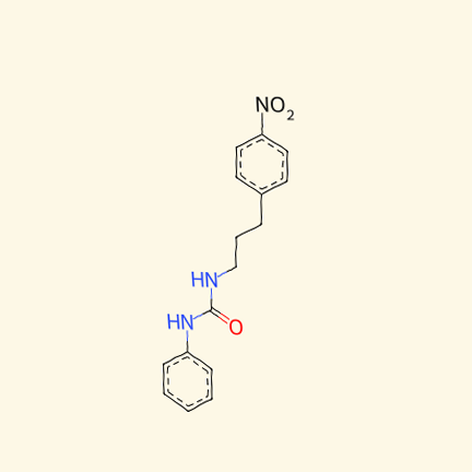 O=C(NCCCc1ccc([N+](=O)[O-])cc1)Nc1ccccc1